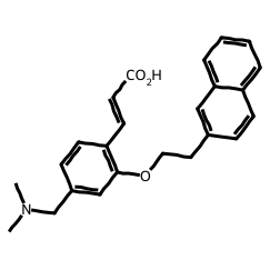 CN(C)Cc1ccc(C=CC(=O)O)c(OCCc2ccc3ccccc3c2)c1